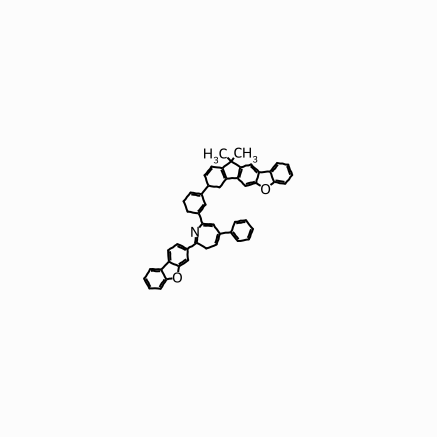 CC1(C)C2=C(CC(C3=CCCC(C4=CC(c5ccccc5)=CCC(c5ccc6c(c5)oc5ccccc56)=N4)=C3)C=C2)c2cc3oc4ccccc4c3cc21